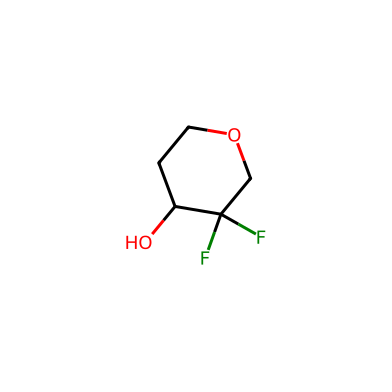 OC1CCOCC1(F)F